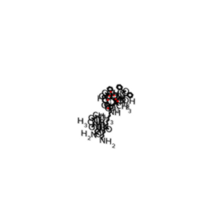 CNC(C)C(=O)NC(C)C(=O)NC(CC(N)=O)C(=O)NC(CCCCN)C(=O)NCCCCCCNC(=O)O[C@H]1C(=O)[C@@]2(C)[C@H]([C@H](OC(=O)c3ccccc3)[C@]3(O)C[C@H](OC(=O)[C@H](O)[C@@H](NC(=O)c4ccccc4)c4ccccc4)C(C)=C1C3(C)C)[C@]1(OC(C)=O)CO[C@@H]1C[C@@H]2O